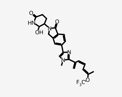 C=C(/C=C\C=C(/C)OC(F)(F)F)c1nc(-c2ccc3c(c2)CN(C2CCC(=O)NC2O)C3=O)cn1C